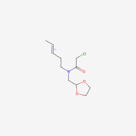 C/C=C/CCN(CC1OCCO1)C(=O)CCl